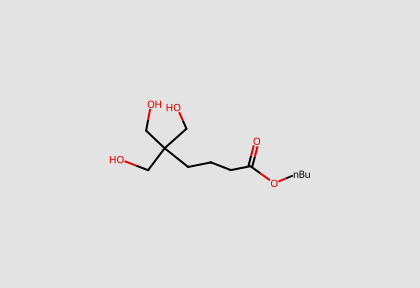 CCCCOC(=O)CCCC(CO)(CO)CO